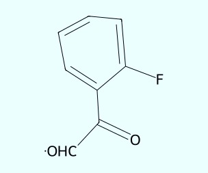 O=[C]C(=O)c1ccccc1F